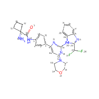 NC1(C(=O)Nc2ccc(-c3cc(N4CCOCC4)nc(-n4c(C(F)F)nc5ccccc54)n3)cc2)CCC1